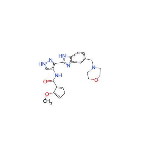 COC1=CCC=C1C(=O)Nc1c[nH]nc1-c1nc2cc(CN3CCOCC3)ccc2[nH]1